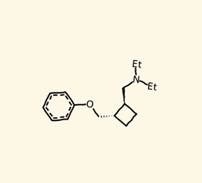 CCN(CC)C[C@H]1CC[C@@H]1COc1ccccc1